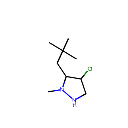 CN1NCC(Cl)C1CC(C)(C)C